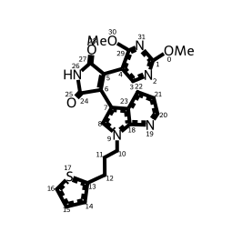 COc1ncc(C2=C(c3cn(CCCc4cccs4)c4ncccc34)C(=O)NC2=O)c(OC)n1